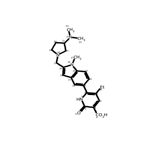 CCc1cc(C(=O)O)c(=O)[nH]c1-c1ccc2c(c1)cc(CN1CCC(N(C)C)C1)n2C